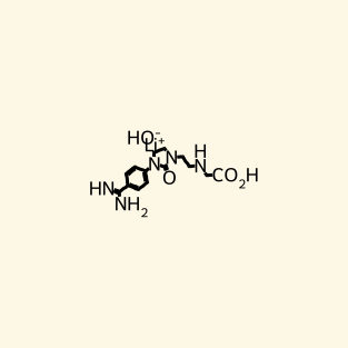 N=C(N)c1ccc(N2CCN(CCNCC(=O)O)C2=O)cc1.[Li+].[OH-]